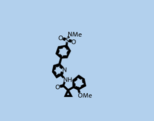 CNS(=O)(=O)c1ccc(-c2cccc(NC(=O)C3(c4ccccc4OC)CC3)n2)cc1